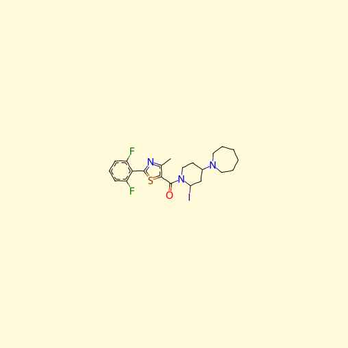 Cc1nc(-c2c(F)cccc2F)sc1C(=O)N1CCC(N2CCCCCC2)CC1I